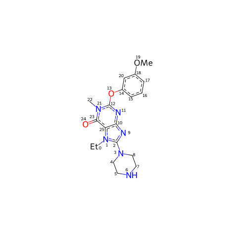 CCn1c(N2CCNCC2)nc2nc(Oc3cccc(OC)c3)n(C)c(=O)c21